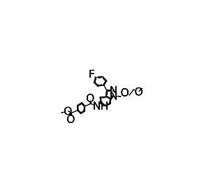 COCCOCn1nc(-c2ccc(F)cc2)c2cc(NC(=O)c3ccc(C(=O)OC)cc3)ccc21